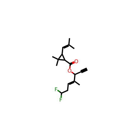 C#CC(OC(=O)C1C(C=C(C)C)C1(C)C)C(C)=CCC(F)F